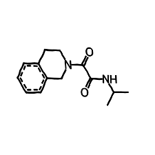 CC(C)NC(=O)C(=O)N1CCc2ccccc2C1